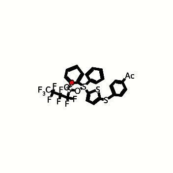 CC(=O)c1ccc(Sc2ccc(S(OS(=O)(=O)C(F)(F)C(F)(F)C(F)(F)C(F)(F)F)(c3ccccc3)c3ccccc3)s2)cc1